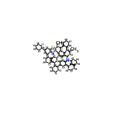 Cc1cc(N(c2ccccc2)c2c(F)cc(-c3ccccc3)cc2-c2ccccc2)c2ccc3c(N(c4ccccc4)c4c(F)cc(-c5ccccc5)cc4-c4ccccc4)cc(C)c4c5ccccc5c1c2c34